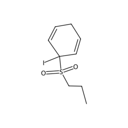 CCCS(=O)(=O)C1(I)C=CCC=C1